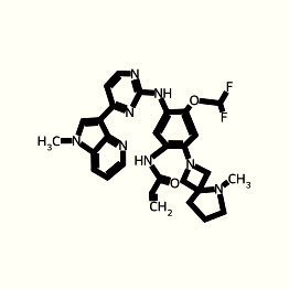 C=CC(=O)Nc1cc(Nc2nccc(-c3cn(C)c4cccnc34)n2)c(OC(F)F)cc1N1CC2(CCCN2C)C1